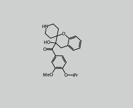 COc1cc(C(=O)C2(O)Cc3ccccc3OC23CCNCC3)ccc1OC(C)C